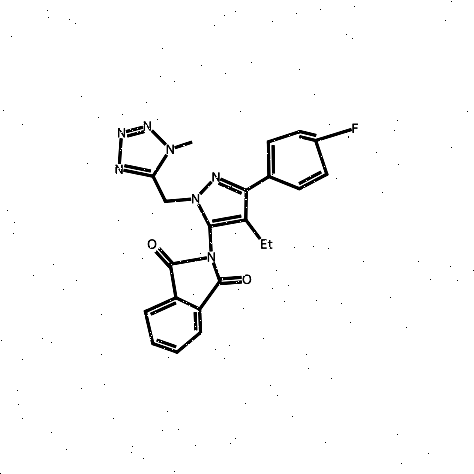 CCc1c(-c2ccc(F)cc2)nn(Cc2nnnn2C)c1N1C(=O)c2ccccc2C1=O